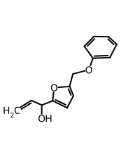 C=CC(O)c1ccc(COc2ccccc2)o1